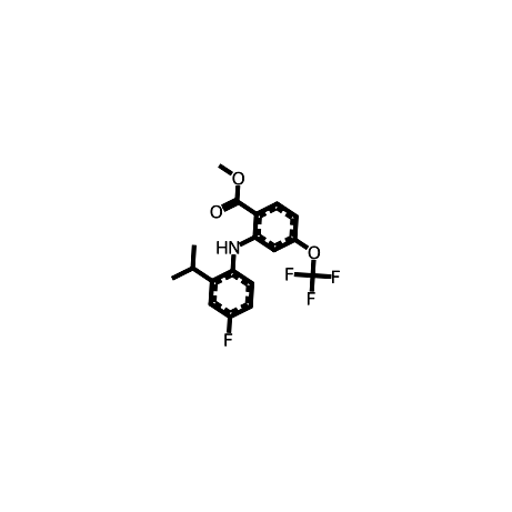 COC(=O)c1ccc(OC(F)(F)F)cc1Nc1ccc(F)cc1C(C)C